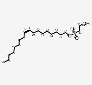 CCCCCCCC/C=C\CCCCCCCCOS(=O)(=O)CCO